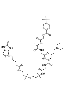 CCN(CC)CCCC[C@H](NC(=O)CNC(=O)[C@H](C)NC(=O)CNC(=O)c1ccc(C(C)(C)C)cc1)C(=O)NCC(=O)NC(C)(C)CCOC(C)(C)CCNC(=O)CCCC[C@@H]1SCC2NC(=O)NC21